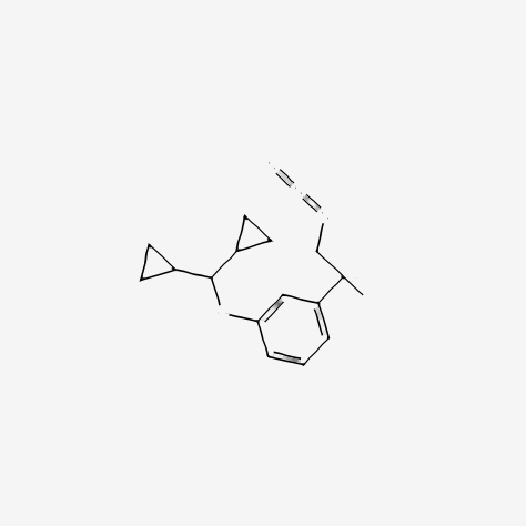 CC[C@@](O)(CN=[N+]=[N-])c1cccc(OC(C2CC2)C2CC2)c1